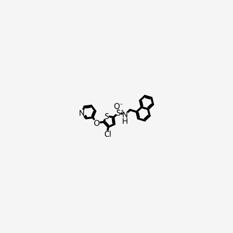 [O-][S+](NCc1cccc2ccccc12)c1cc(Cl)c(Oc2cccnc2)s1